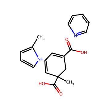 CC1(C(=O)O)C=CC=C(C(=O)O)C1.Cc1ccc[nH]1.c1ccncc1